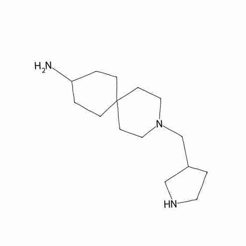 NC1CCC2(CC1)CCN(CC1CCNC1)CC2